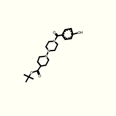 CC(C)(C)OC(=O)C1CCN(N2CCN(C(=O)c3ccc(O)cc3)CC2)CC1